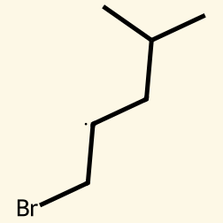 CC(C)C[CH]CBr